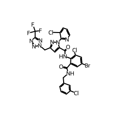 O=C(NCc1cccc(Cl)c1)c1cc(Br)cc(Cl)c1NC(=O)c1cc(Cn2nnc(C(F)(F)F)n2)nn1-c1ncccc1Cl